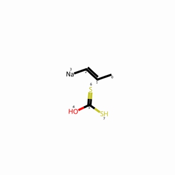 CC=[CH][Na].OC(=S)S